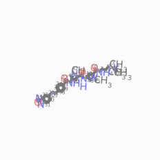 CC[N+](C)(C)CCCNC(=O)c1cc(NC(=O)c2cc(NC(=O)c3ccc(/C=C/c4ccc5nonc5c4)cc3)cn2C)cn1C